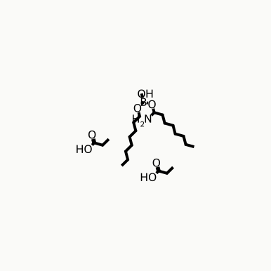 CCC(=O)O.CCC(=O)O.CCCCCCCCOB(O)OC(N)CCCCCCC